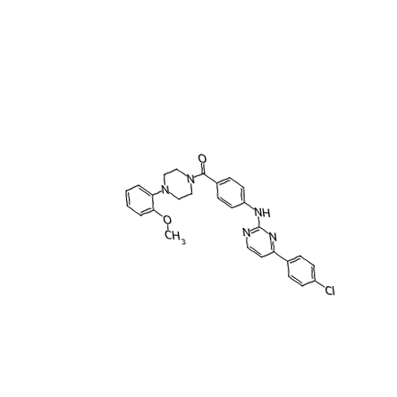 COc1ccccc1N1CCN(C(=O)c2ccc(Nc3nccc(-c4ccc(Cl)cc4)n3)cc2)CC1